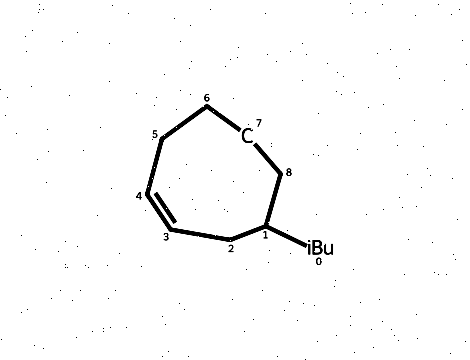 C[CH]C(C)C1CC=CCCCC1